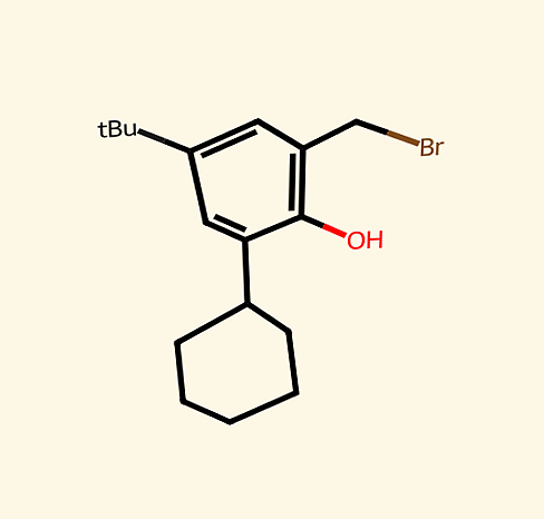 CC(C)(C)c1cc(CBr)c(O)c(C2CCCCC2)c1